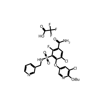 CC(C)COc1ncc(Oc2c(Cl)cc(C(N)=O)c(F)c2S(=O)(=O)NCc2cccnc2)cc1Cl.O=C(O)C(F)(F)F